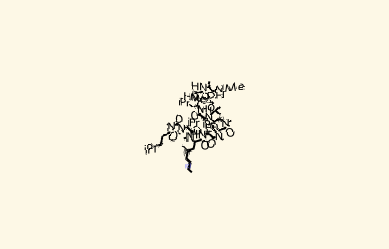 C/C=C/C[C@@H](C)CC(C(=O)N[C@@H](CC)C(=O)N(C)CC(=O)N(C)[C@@H](CC(C)(C)OCSC)C(=O)N[C@H](C(=O)N(C)[C@@H](CC(C)C)C(=O)N[C@H](C)C(=O)NC(C)C(O)NC)C(C)C)N(C)C(=O)[C@H](C(C)C)N(C)C(=O)N(C)C(=O)CCC(C)C